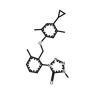 Cc1cc(C2CC2)c(C)cc1OCc1c(C)cccc1-n1nnn(C)c1=O